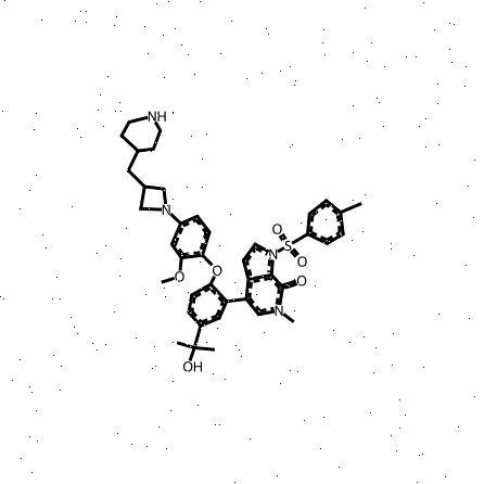 COc1cc(N2CC(CC3CCNCC3)C2)ccc1Oc1ccc(C(C)(C)O)cc1-c1cn(C)c(=O)c2c1ccn2S(=O)(=O)c1ccc(C)cc1